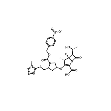 C[C@@H](O)[C@H]1C(=O)N2C(C(=O)O)=C(S[C@H]3C[C@@H](CSc4nnnn4C)N(C(=O)OCc4ccc([N+](=O)[O-])cc4)C3)[C@H](C)[C@H]12